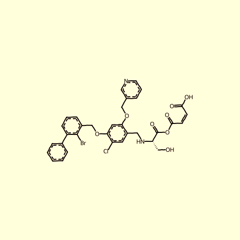 O=C(O)/C=C\C(=O)OC(=O)[C@H](CO)NCc1cc(Cl)c(OCc2cccc(-c3ccccc3)c2Br)cc1OCc1cccnc1